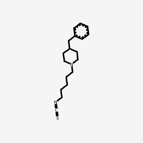 S=C=NCCCCCN1CCC(Cc2ccccc2)CC1